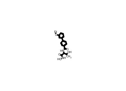 CCOc1cccc(-c2ccc(C(=O)NC(C(=O)NO)C(C)O)cc2)c1